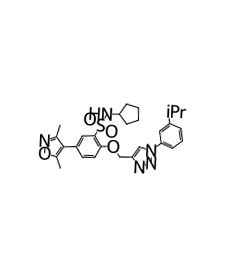 Cc1noc(C)c1-c1ccc(OCc2cn(-c3cccc(C(C)C)c3)nn2)c(S(=O)(=O)NC2CCCC2)c1